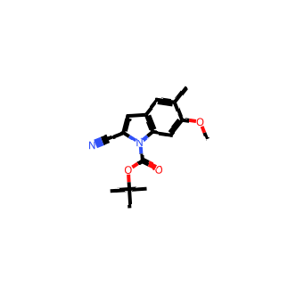 COc1cc2c(cc1C)cc(C#N)n2C(=O)OC(C)(C)C